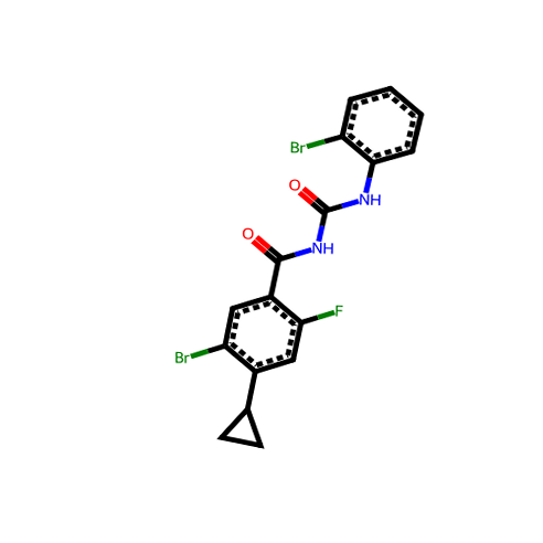 O=C(NC(=O)c1cc(Br)c(C2CC2)cc1F)Nc1ccccc1Br